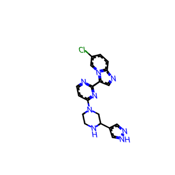 Clc1ccc2ncc(-c3nccc(N4CCNC(c5cn[nH]c5)C4)n3)n2c1